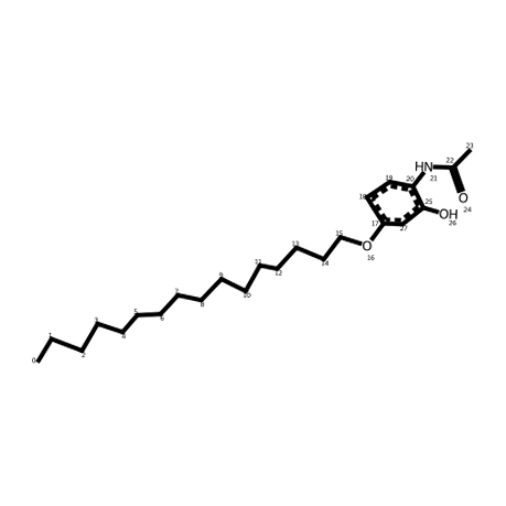 CCCCCCCCCCCCCCCCOc1ccc(NC(C)=O)c(O)c1